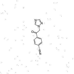 N#Cc1ccc(C(=O)Cn2cncn2)cc1